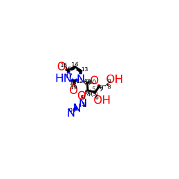 [N-]=[N+]=NO[C@@H]1[C@@H](O)[C@@H](CO)O[C@H]1n1ccc(=O)[nH]c1=O